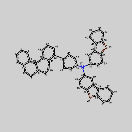 c1ccc2c(c1)ccc1ccc3c(-c4ccc(N(c5ccc6sc7ccccc7c6c5)c5ccc6sc7ccccc7c6c5)cc4)cccc3c12